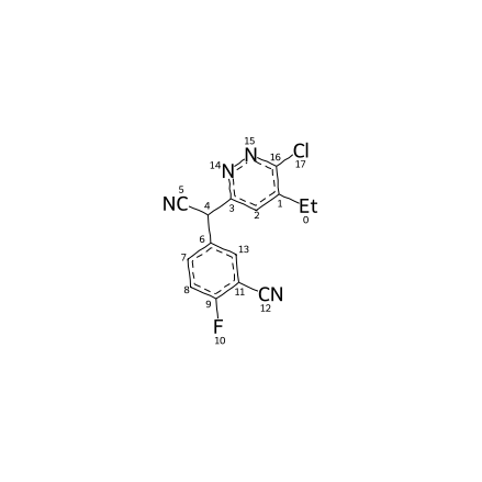 CCc1cc(C(C#N)c2ccc(F)c(C#N)c2)nnc1Cl